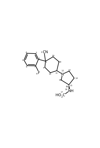 N#CC1(c2ccccc2F)CCC(N2CC[C@@H](NC(=O)O)C2)CC1